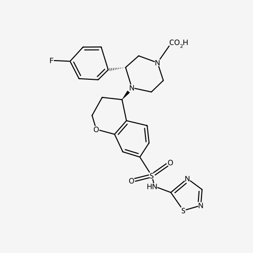 O=C(O)N1CCN([C@@H]2CCOc3cc(S(=O)(=O)Nc4ncns4)ccc32)[C@H](c2ccc(F)cc2)C1